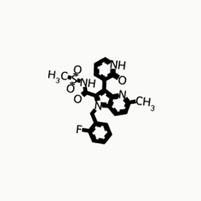 Cc1ccc2c(n1)c(-c1ccc[nH]c1=O)c(C(=O)NS(C)(=O)=O)n2Cc1ccccc1F